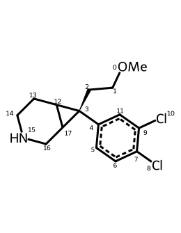 COCC[C@]1(c2ccc(Cl)c(Cl)c2)C2CCNCC21